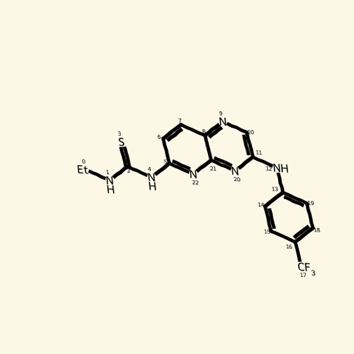 CCNC(=S)Nc1ccc2ncc(Nc3ccc(C(F)(F)F)cc3)nc2n1